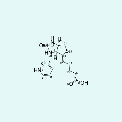 C1=CNSC=C1.O=C(O)CCCC[C@@H]1SC[C@@H]2NC(=O)N[C@@H]21